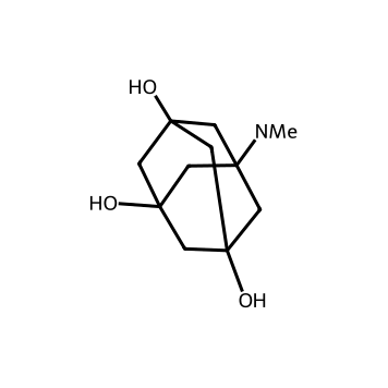 CNC12CC3(O)CC(O)(CC(O)(C3)C1)C2